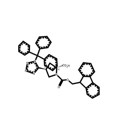 O=C(O)[C@H]1C[C@H](c2nnnn2C(c2ccccc2)(c2ccccc2)c2ccccc2)CN1C(=O)OCC1c2ccccc2-c2ccccc21